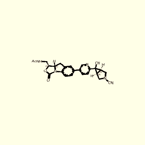 CC(=O)NC[C@@H]1OC(=O)N2c3ccc(-c4ccc(C5(C#N)[C@@H]6CN(C#N)C[C@@H]65)nc4)cc3C[C@@H]12